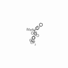 CNC(c1cc[n+](C2CCCCC2)cc1)N1CC(=O)N(c2ccc(S(=O)(=O)C(F)(F)F)cc2)C1=O